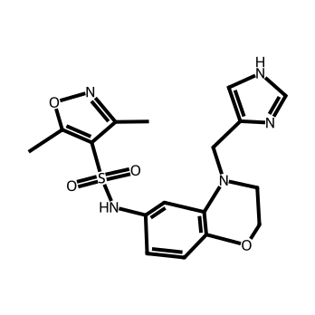 Cc1noc(C)c1S(=O)(=O)Nc1ccc2c(c1)N(Cc1c[nH]cn1)CCO2